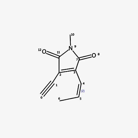 C#CC1=C(/C=C\C)C(=O)N(C)C1=O